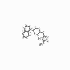 CC(C)c1nnc(CC2CCC(c3ccnc4ccccc34)CC2)[nH]1